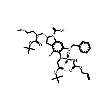 C=CCOC(=O)NS(=O)(=O)N(CC(=O)OC(C)(C)C)c1c(OCc2ccccc2)cc2c(c1F)C[C@H](CN(CCOC)C(=O)OC(C)(C)C)N2C(=O)O